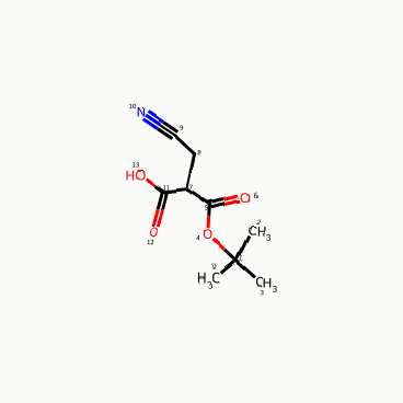 CC(C)(C)OC(=O)C(CC#N)C(=O)O